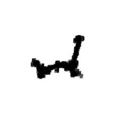 Cc1cccc(-c2nc(CNc3ccc(F)c(F)c3)[nH]c2-c2ccc3ncc(OCCCCNC(=O)OCc4ccc(NC(=O)[C@H](CCCNC(N)=O)NC(=O)[C@@H](NC(=O)CCOCCOCCOCCOCCN5C(=O)C=CC5=O)C(C)C)cc4)cc3c2)n1